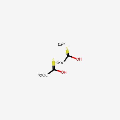 O=C([O-])C(O)=S.O=C([O-])C(O)=S.[Ca+2]